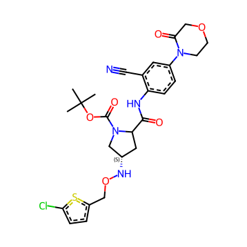 CC(C)(C)OC(=O)N1C[C@@H](NOCc2ccc(Cl)s2)CC1C(=O)Nc1ccc(N2CCOCC2=O)cc1C#N